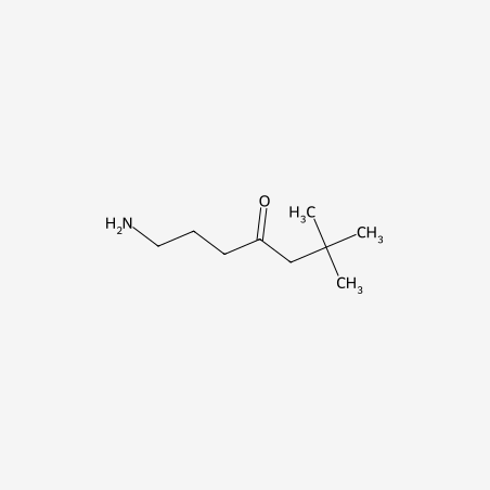 CC(C)(C)CC(=O)CCCN